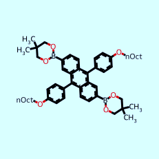 CCCCCCCCOc1ccc(-c2c3ccc(B4OCC(C)(C)CO4)cc3c(-c3ccc(OCCCCCCCC)cc3)c3ccc(B4OCC(C)(C)CO4)cc23)cc1